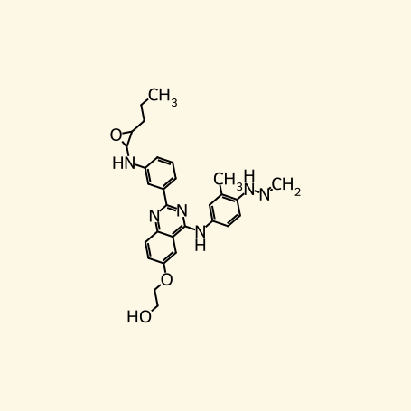 C=NNc1ccc(Nc2nc(-c3cccc(NC4OC4CCC)c3)nc3ccc(OCCO)cc23)cc1C